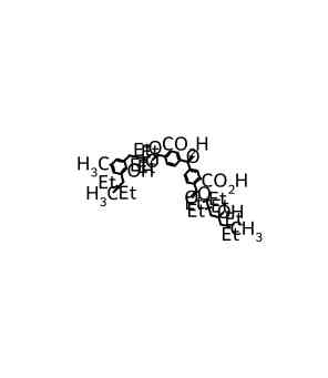 CCC(C)(CC)Cc1cc(C)cc(CC(CC)(CC)C(CC)(CC)OC(=O)c2ccc(C(=O)c3ccc(C(=O)OC(CC)(CC)C(CC)(CC)CC(O)CC(C)(CC)CC)c(C(=O)O)c3)cc2C(=O)O)c1O